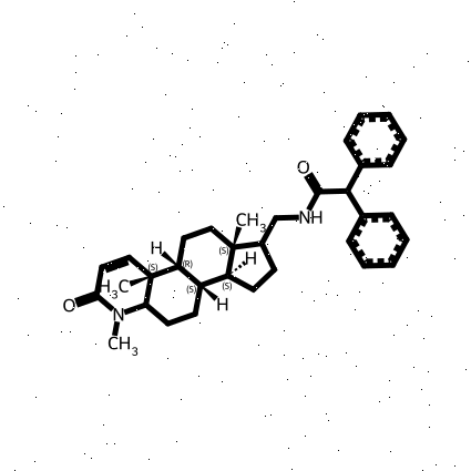 CN1C(=O)C=C[C@@]2(C)C1CC[C@@H]1[C@H]2CC[C@]2(C)C(CNC(=O)C(c3ccccc3)c3ccccc3)CC[C@@H]12